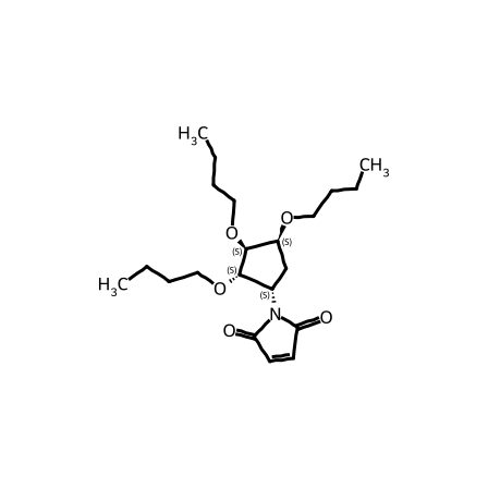 CCCCO[C@@H]1[C@@H](OCCCC)[C@@H](N2C(=O)C=CC2=O)C[C@@H]1OCCCC